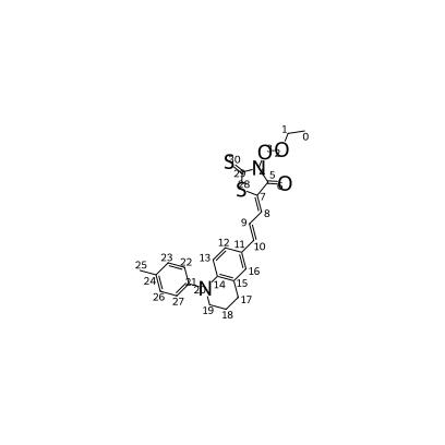 CCOON1C(=O)/C(=C/C=C/c2ccc3c(c2)CCCN3c2ccc(C)cc2)SC1=S